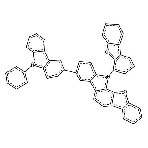 c1ccc(-n2c3ccccc3c3cc(-c4ccc5c(c4)c4ccc6c7ccccc7oc6c4n5-c4cccc5c4oc4ccccc45)ccc32)cc1